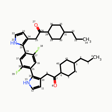 CCCC1CCC(C(=O)Cc2cc[nH]c2-c2cc(F)c(-c3[nH]ccc3CC(=O)C3CCC(CCC)CC3)cc2F)CC1